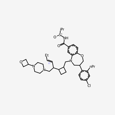 CC/C=C/C(CN1CCN(C2COC2)CC1)C1CCC1CN1CC(c2ccc(Cl)cc2CCC)COc2ccc(C(=O)N[S+]([O-])C(C)C)cc21